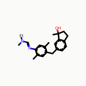 CCN(C)C=Nc1cc(C)c(Cc2ccc3c(c2)C(C)(O)CC3)cc1C